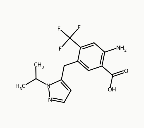 CC(C)n1nccc1Cc1cc(C(=O)O)c(N)cc1C(F)(F)F